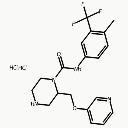 Cc1ccc(NC(=O)N2CCNCC2COc2cccnc2)cc1C(F)(F)F.Cl.Cl